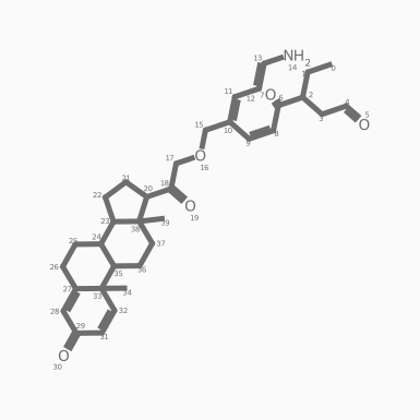 CCC(CC=O)C(=O)\C=C/C(=C\C=C\N)COCC(=O)C1CCC2C3CCC4=CC(=O)C=CC4(C)C3CCC12C